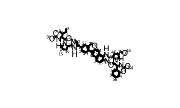 CCC(C)[C@H](NC(=O)OC)C(=O)N1C[C@@H](C)CC1c1ncc(-c2ccc3c(c2)COc2cc4c(ccc5nc([C@@H]6C[C@H](COC)CN6C(=O)[C@H](NC(=O)OC)c6ccccc6)[nH]c54)cc2-3)[nH]1